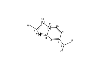 Cc1nc2cc(C(C)C)ccn2n1